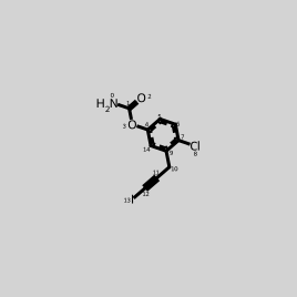 NC(=O)Oc1ccc(Cl)c(CC#CI)c1